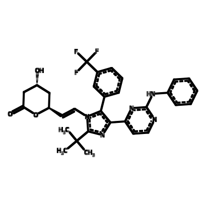 CC(C)(C)c1nc(-c2ccnc(Nc3ccccc3)n2)c(-c2cccc(C(F)(F)F)c2)n1/C=C/[C@@H]1C[C@@H](O)CC(=O)O1